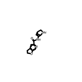 O=C(NC1CC2CNC1C2)c1cc2c(cn1)OCC2